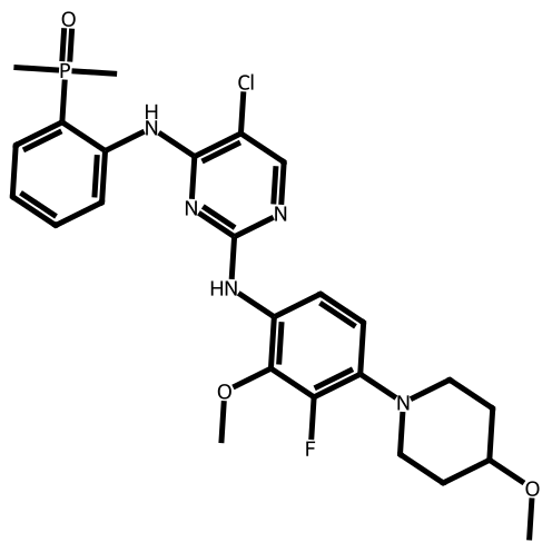 COc1c(Nc2ncc(Cl)c(Nc3ccccc3P(C)(C)=O)n2)ccc(N2CCC(OC)CC2)c1F